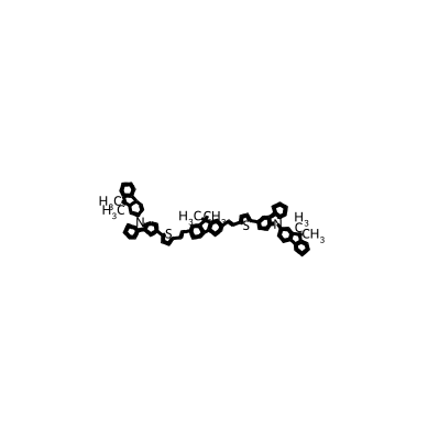 CC1(C)c2cc(/C=C/c3ccc(-c4ccc5c(c4)c4ccccc4n5C4=CC5C(C=C4)c4ccccc4C5(C)C)s3)ccc2-c2ccc(/C=C/c3ccc(-c4ccc5c(c4)c4ccccc4n5-c4ccc5c(c4)C(C)(C)c4ccccc4-5)s3)cc21